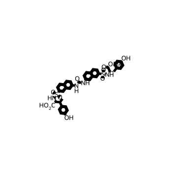 COC(=O)[C@H](Cc1ccc(O)cc1)NS(=O)(=O)c1ccc2ccc(NC(=O)Nc3ccc4ccc(S(=O)(=O)N[C@H](C(=O)O)C(C)c5ccc(O)cc5)cc4c3)cc2c1